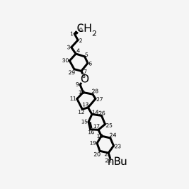 C=CCCC1CCC(OCC2CCC(C3C=CC(C4CCC(CCCC)CC4)CC3)CC2)CC1